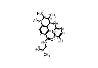 CC(=O)N1c2ccc(C(=O)NC[C@H](C)O)cc2C(Nc2ncc(Cl)cn2)C(C)C1C